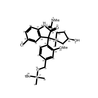 CNC(=O)[C@@H]1C[C@@H](O)C[N+]1(C)C1(c2ccc(CO[Si](C)(C)C(C)(C)C)cc2OC)C(=O)Nc2ccc(Cl)cc21